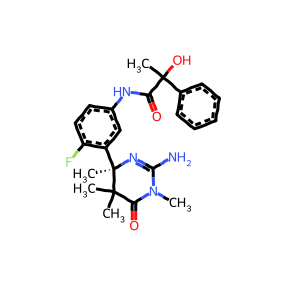 CN1C(=O)C(C)(C)[C@@](C)(c2cc(NC(=O)C(C)(O)c3ccccc3)ccc2F)N=C1N